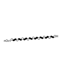 CCCCCCCCOCCOCCOCCOCCOCCOCCOCCOCCO